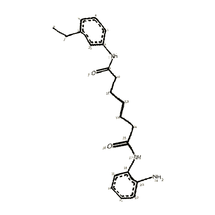 CCc1cccc(NC(=O)CCCCCC(=O)Nc2ccccc2N)c1